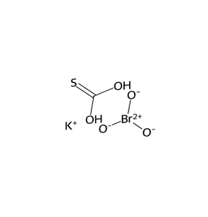 OC(O)=S.[K+].[O-][Br+2]([O-])[O-]